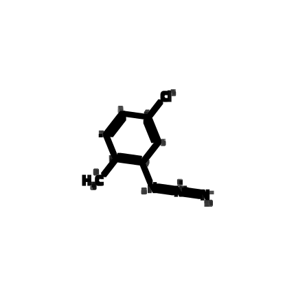 Cc1ccc(Cl)cc1N=[N+]=[N-]